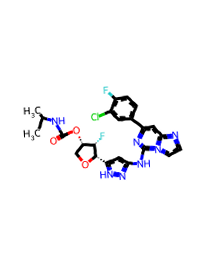 CC(C)NC(=O)O[C@H]1CO[C@@H](c2cc(Nc3nc(-c4ccc(F)c(Cl)c4)cc4nccn34)n[nH]2)[C@H]1F